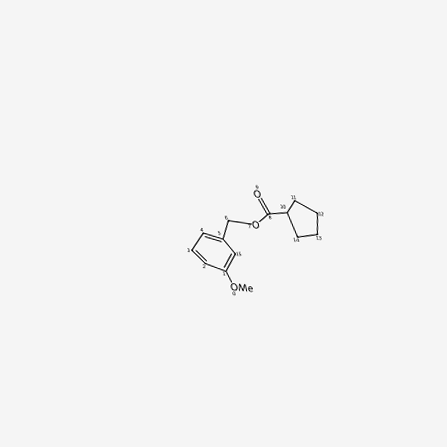 COc1cccc(COC(=O)C2CCCC2)c1